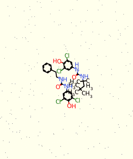 CC(C)(C)CC(C)(C)NC(=O)Nc1cc(Cl)c(O)c(Cl)c1.O=C(NCCc1ccccc1)Nc1cc(Cl)c(O)c(Cl)c1